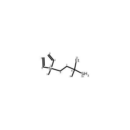 C=C[Si](C)(C=C)CCC(C)([SiH3])CC